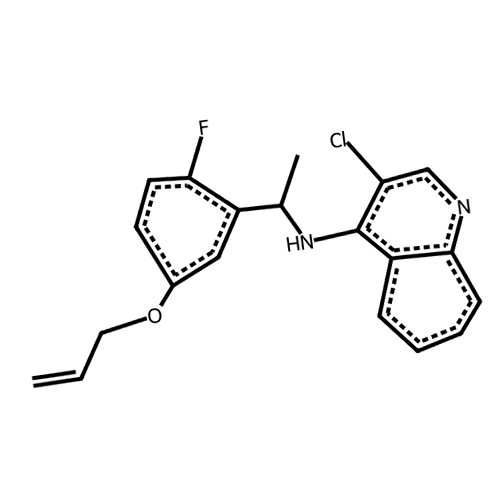 C=CCOc1ccc(F)c(C(C)Nc2c(Cl)cnc3ccccc23)c1